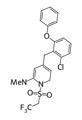 CNC1=CC(Cc2c(Cl)cccc2Oc2ccccc2)=CCN1S(=O)(=O)CC(F)(F)F